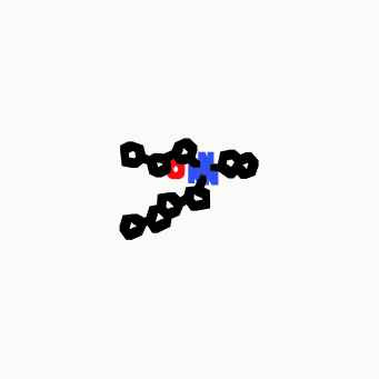 c1ccc(-c2ccc3cc(-c4cccc(-c5nc(-c6ccc7ccccc7c6)nc(-c6cccc7c6oc6ccc(-c8ccccc8)cc67)n5)c4)ccc3c2)cc1